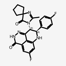 CC1=NC2(CCCC2)C(=O)N1[C@H]1c2n[nH]c(=O)c3cc(F)cc(c23)N[C@@H]1c1ccc(F)cc1